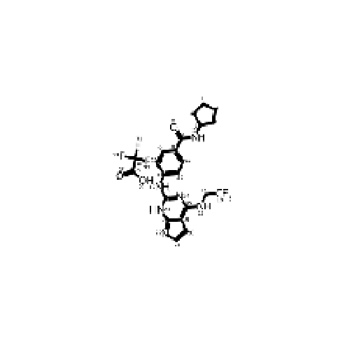 O=C(NC1CCCC1)c1ccc(Nc2nc(NCC(F)(F)F)c3ccnc-3[nH]2)cc1.O=C(O)C(F)(F)F